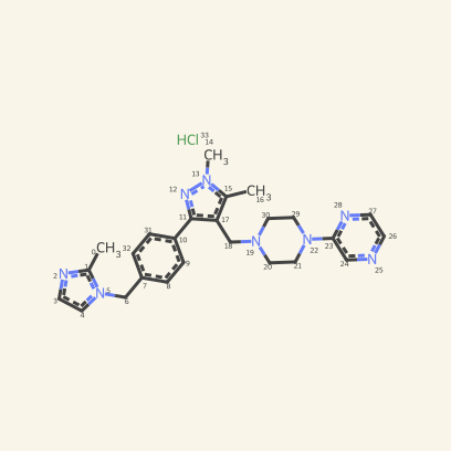 Cc1nccn1Cc1ccc(-c2nn(C)c(C)c2CN2CCN(c3cnccn3)CC2)cc1.Cl